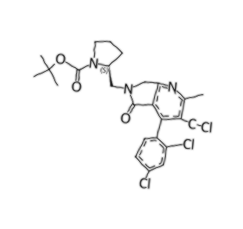 Cc1nc2c(c(-c3ccc(Cl)cc3Cl)c1CCl)C(=O)N(C[C@@H]1CCCN1C(=O)OC(C)(C)C)C2